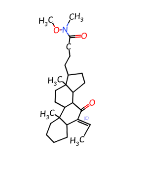 C/C=C1/C(=O)C2C3CCC(CCCC(=O)N(C)OC)C3(C)CCC2C2(C)CCCCC12